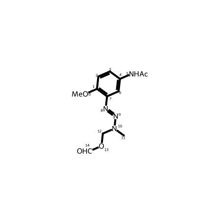 COc1ccc(NC(C)=O)cc1/N=N/N(C)COC=O